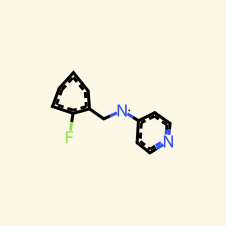 Fc1ccccc1C[N]c1ccncc1